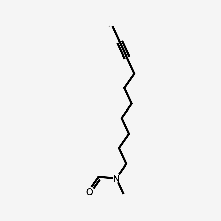 [CH2]C#CCCCCCCCN(C)C=O